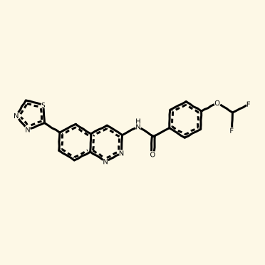 O=C(Nc1cc2cc(-c3nncs3)ccc2nn1)c1ccc(OC(F)F)cc1